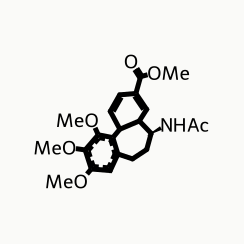 COC(=O)C1=CC2C(C=C1)c1c(cc(OC)c(OC)c1OC)CC[C@@H]2NC(C)=O